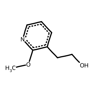 COc1ncccc1CCO